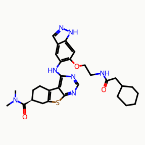 CN(C)C(=O)[C@H]1CCc2c(sc3ncnc(Nc4cc5cn[nH]c5cc4OCCNC(=O)CC4CCCCC4)c23)C1